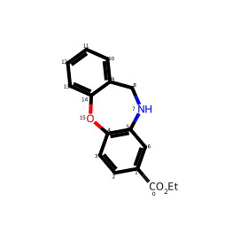 CCOC(=O)c1ccc2c(c1)NCc1ccccc1O2